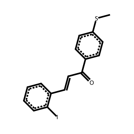 CSc1ccc(C(=O)/C=C/c2ccccc2I)cc1